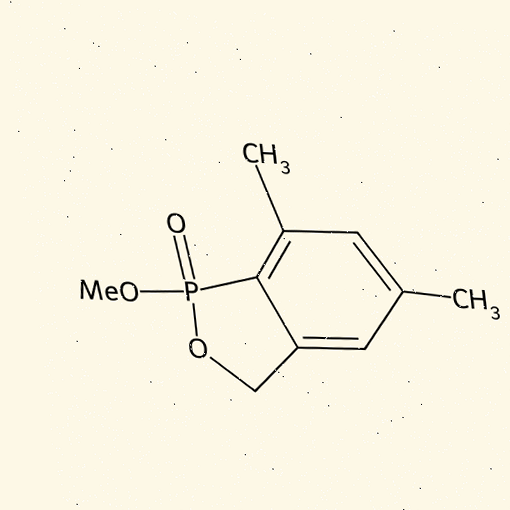 COP1(=O)OCc2cc(C)cc(C)c21